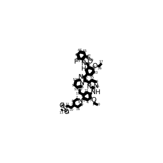 CCOc1cc(N2CCC(CCS(C)(=O)=O)CC2)c(CC)cc1Nc1nccc(-c2c(-c3ccc(OCC)c(C(=O)Nc4c(F)cccc4F)c3)nc3ccccn23)n1